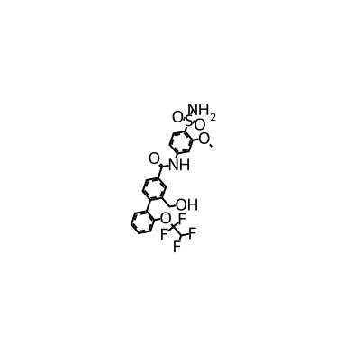 COc1cc(NC(=O)c2ccc(-c3ccccc3OC(F)(F)C(F)F)c(CO)c2)ccc1S(N)(=O)=O